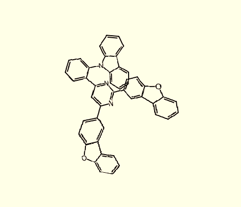 c1ccc(-n2c3ccccc3c3ccccc32)c(-c2cc(-c3ccc4oc5ccccc5c4c3)nc(-c3ccc4oc5ccccc5c4c3)n2)c1